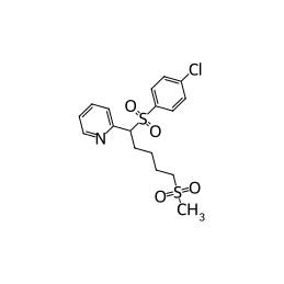 CS(=O)(=O)CCCCC(c1ccccn1)S(=O)(=O)c1ccc(Cl)cc1